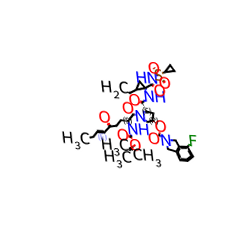 C=CC1CC1(NC(=O)[C@@H]1C[C@@H](OC(=O)N2Cc3cccc(F)c3C2)CN1C(=O)[C@H](CCC(=O)/C=C/CC)NC(=O)OC(C)(C)C)C(=O)NS(=O)(=O)C1CC1